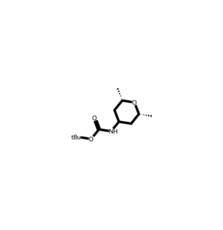 C[C@@H]1CC(NC(=O)OC(C)(C)C)C[C@H](C)O1